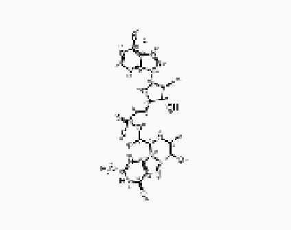 C[C@@H](CO)O[C@H](C(F)OP(O)(=S)OC[C@H]1O[C@@H](n2nnc3c(N)ncnc32)[C@@H](F)[C@@H]1O)n1nnc2c(=O)[nH]c(N)nc21